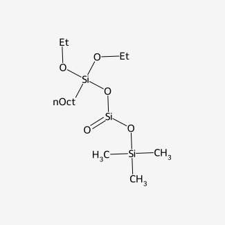 CCCCCCCC[Si](OCC)(OCC)O[Si](=O)O[Si](C)(C)C